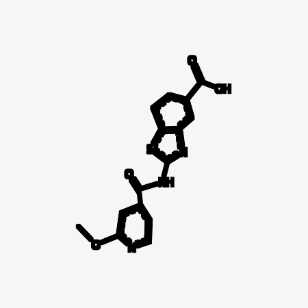 COc1cc(C(=O)Nc2nc3cc(C(=O)O)ccc3s2)ccn1